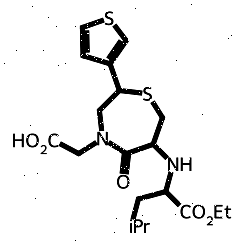 CCOC(=O)C(CC(C)C)NC1CSC(c2ccsc2)CN(CC(=O)O)C1=O